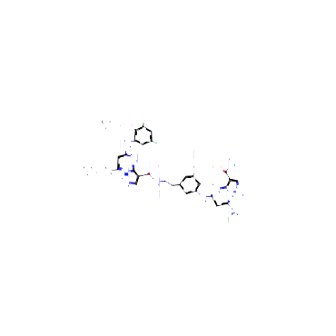 CCNc1cc(Nc2cc(C)cc(CCNC(=O)c3cnn4c(NC)cc(Nc5cc(F)cc(F)c5OC)nc34)c2)nc2c(C(N)=O)cnn12